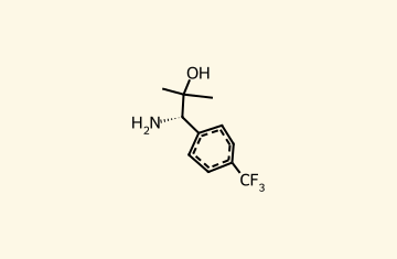 CC(C)(O)[C@@H](N)c1ccc(C(F)(F)F)cc1